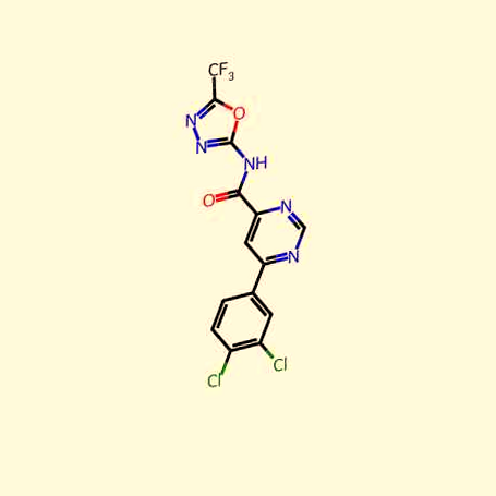 O=C(Nc1nnc(C(F)(F)F)o1)c1cc(-c2ccc(Cl)c(Cl)c2)ncn1